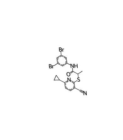 CC(Sc1nc(C2CC2)ccc1C#N)C(=O)Nc1cc(Br)cc(Br)c1